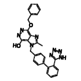 Cc1nc2c(OCc3ccccc3)nnc(O)c2n1Cc1ccc(-c2ccccc2-c2nnn[nH]2)cc1